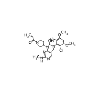 C=CC(=O)N1CCC(N2c3nc(NC)ncc3CN(c3c(Cl)c(OC)cc(OC)c3Cl)C2O)CC1